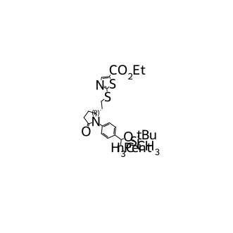 CCCCCC(O[Si](C)(C)C(C)(C)C)c1ccc(N2C(=O)CC[C@@H]2CCSc2ncc(C(=O)OCC)s2)cc1